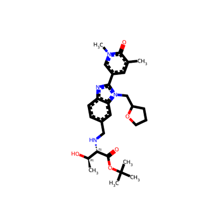 Cc1cc(-c2nc3ccc(CN[C@H](C(=O)OC(C)(C)C)[C@@H](C)O)cc3n2CC2CCCO2)cn(C)c1=O